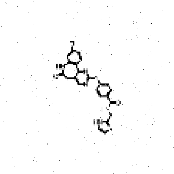 O=C1Cc2cnc(Nc3ccc(C(=O)NCc4ncc[nH]4)cc3)nc2-c2ccc(Cl)cc2N1